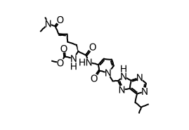 COC(=O)N[C@@H](CC/C=C/C(=O)N(C)C)C(=O)Nc1cccn(Cc2nc3c(CC(C)C)ncnc3[nH]2)c1=O